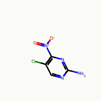 Nc1ncc(Cl)c([N+](=O)[O-])n1